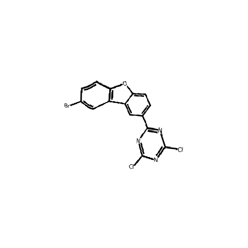 Clc1nc(Cl)nc(-c2ccc3oc4ccc(Br)cc4c3c2)n1